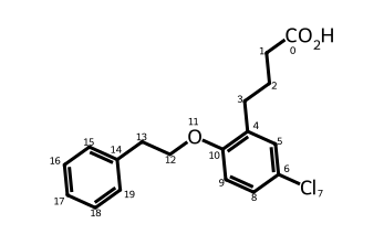 O=C(O)CCCc1cc(Cl)ccc1OCCc1ccccc1